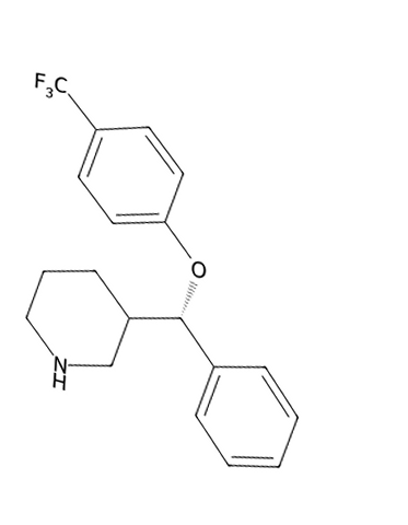 FC(F)(F)c1ccc(O[C@H](c2ccccc2)C2CCCNC2)cc1